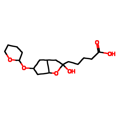 O=C(O)CCCCC1(O)CC2CC(OC3CCCCO3)CC2O1